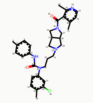 Cc1ccc(NC(=O)N(CCCN2CC3CN(C(=O)c4c(C)ccnc4C)CC3C2)c2ccc(C)c(Cl)c2)cc1